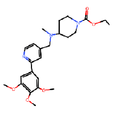 CCOC(=O)N1CCC(N(C)Cc2ccnc(-c3cc(OC)c(OC)c(OC)c3)c2)CC1